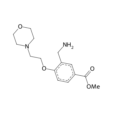 COC(=O)c1ccc(OCCN2CCOCC2)c(CN)c1